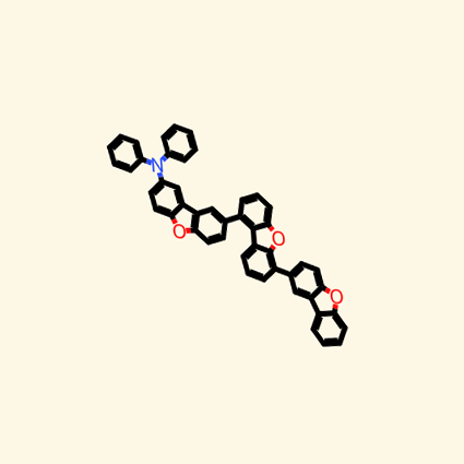 c1ccc(N(c2ccccc2)c2ccc3oc4ccc(-c5cccc6oc7c(-c8ccc9oc%10ccccc%10c9c8)cccc7c56)cc4c3c2)cc1